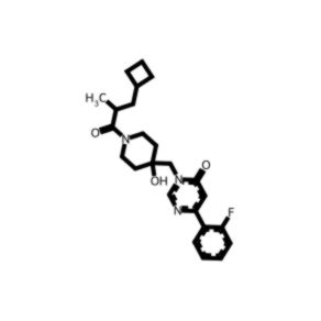 CC(CC1CCC1)C(=O)N1CCC(O)(Cn2cnc(-c3ccccc3F)cc2=O)CC1